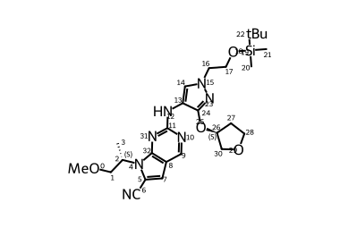 COC[C@H](C)n1c(C#N)cc2cnc(Nc3cn(CCO[Si](C)(C)C(C)(C)C)nc3O[C@H]3CCOC3)nc21